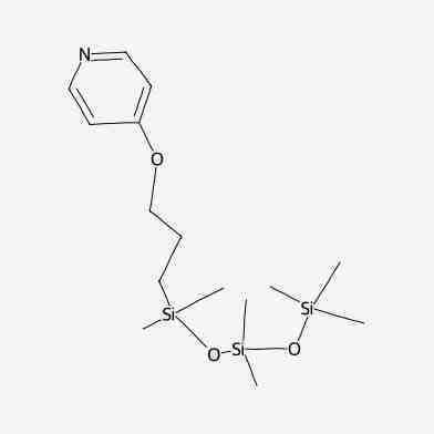 C[Si](C)(C)O[Si](C)(C)O[Si](C)(C)CCCOc1ccncc1